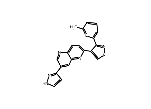 Cc1cccc(-c2n[nH]cc2-c2ccc3ncc(-c4cc[nH]n4)cc3n2)n1